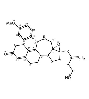 C=C(CCO)C[C@]12CCC3C4CCC5=CC(=O)CCC5=C4[C@H](c4ccc(OC)cc4)OCC31O2